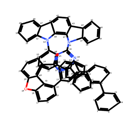 c1ccc(-c2cccc(-c3cccc(-c4cccc5oc6cccc(-c7nc(-c8ccccc8)nc(-n8c9ccccc9c9ccc%10c%11ccccc%11n(-c%11cccc(-c%12ccccc%12)c%11)c%10c98)n7)c6c45)c3)c2)cc1